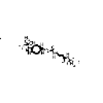 CC(C)NC(=O)CCCNC(=O)OC[C@@H]1[C@@H]2CCc3nnn(C(C)(C)C)c3CC[C@@H]21